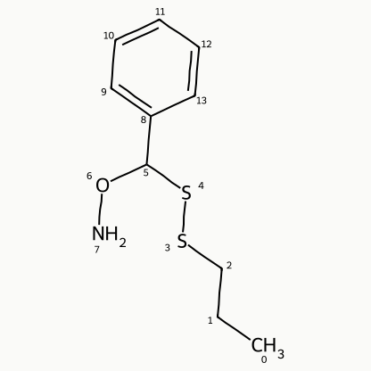 CCCSSC(ON)c1ccccc1